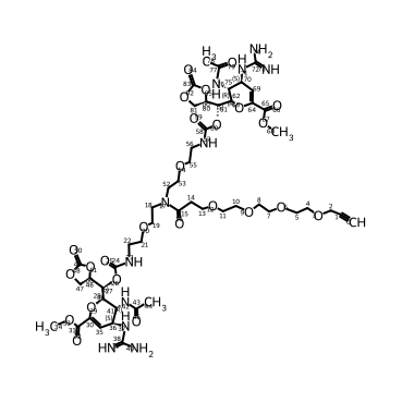 C#CCOCCOCCOCCOCCC(=O)N(CCOCCNC(=O)O[C@@H]([C@@H]1OC(C(=O)OC)=C[C@H](NC(=N)N)[C@H]1NC(C)=O)[C@H]1COC(=O)O1)CCOCCNC(=O)O[C@@H]([C@@H]1OC(C(=O)OC)=C[C@H](NC(=N)N)[C@H]1NC(C)=O)[C@H]1COC(=O)O1